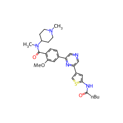 CCCCC(=O)Nc1cc(-c2cncc(-c3ccc(C(=O)N(C)C4CCN(C)CC4)c(OC)c3)n2)cs1